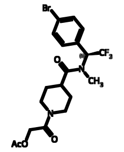 CC(=O)OCC(=O)N1CCC(C(=O)N(C)[C@@H](c2ccc(Br)cc2)C(F)(F)F)CC1